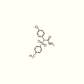 Cc1ccc(S(=O)(=O)C(C(N)=O)c2ccc(Cl)cc2)cc1